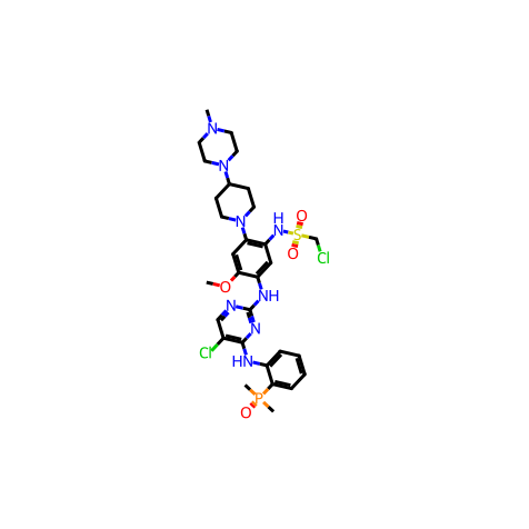 COc1cc(N2CCC(N3CCN(C)CC3)CC2)c(NS(=O)(=O)CCl)cc1Nc1ncc(Cl)c(Nc2ccccc2P(C)(C)=O)n1